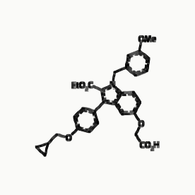 CCOC(=O)c1c(-c2ccc(OCC3CC3)cc2)c2cc(OCC(=O)O)ccc2n1Cc1cccc(OC)c1